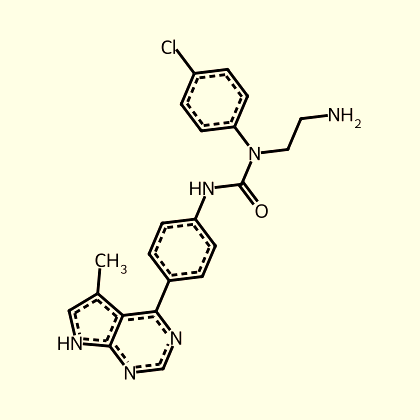 Cc1c[nH]c2ncnc(-c3ccc(NC(=O)N(CCN)c4ccc(Cl)cc4)cc3)c12